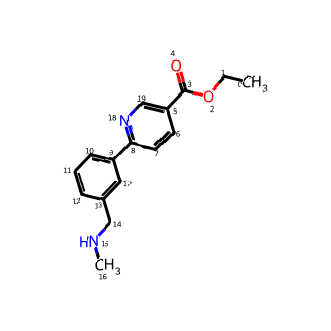 CCOC(=O)c1ccc(-c2cccc(CNC)c2)nc1